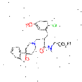 CCOC(=O)CN(C)C(=O)C(Cc1cc(O)ccc1Cl)CN1CCC2(CC1)OCc1ccccc12